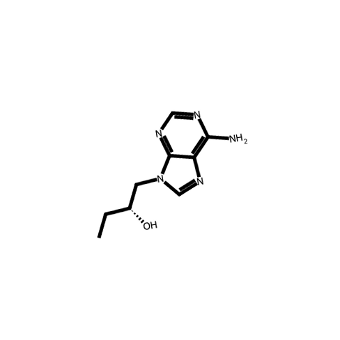 CC[C@@H](O)Cn1cnc2c(N)ncnc21